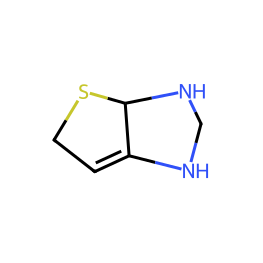 C1=C2NCNC2SC1